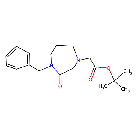 CC(C)(C)OC(=O)CN1CCCN(Cc2ccccc2)C(=O)C1